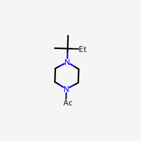 CCC(C)(C)N1CCN(C(C)=O)CC1